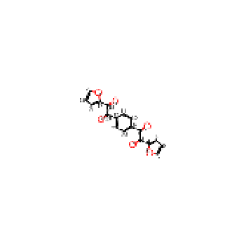 O=C(C(=O)c1ccco1)c1ccc(C(=O)C(=O)c2ccco2)cc1